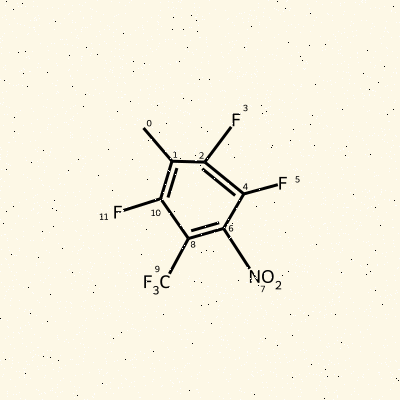 Cc1c(F)c(F)c([N+](=O)[O-])c(C(F)(F)F)c1F